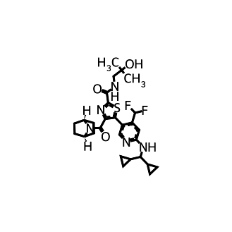 CC(C)(O)CNC(=O)c1nc(C(=O)N2[C@H]3CC[C@@H]2CC3)c(-c2cnc(NC(C3CC3)C3CC3)cc2C(F)F)s1